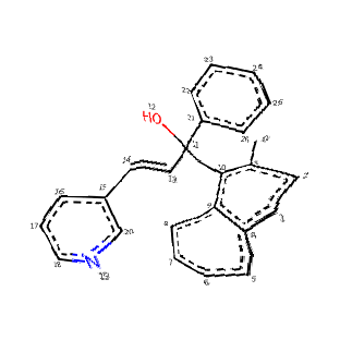 Cc1ccc2ccccc2c1C(O)(C=Cc1cccnc1)c1ccccc1